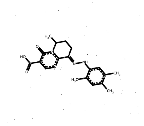 Cc1cc(C)c(N/N=C2\CCC(C)n3c2ncc(C(=O)O)c3=O)cc1C